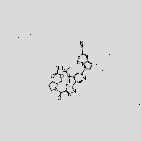 CC(C)Nc1cc(-c2ccc3cc(C#N)cnn23)ncc1-c1nnc(C(=O)N2CCC[C@H]2COC(N)=O)s1